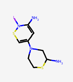 NC1=CC(N2CCSC(N)C2)=CSN1I